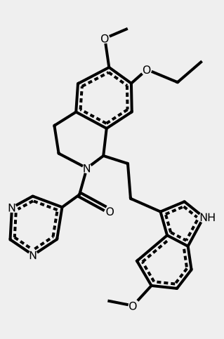 CCOc1cc2c(cc1OC)CCN(C(=O)c1cncnc1)C2CCc1c[nH]c2ccc(OC)cc12